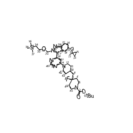 CC(C)(C)OC(=O)N1CCC(F)(CC2CCN(c3cc(-c4c5cc(OC6(C)CC6)ccc5nn4COCC[Si](C)(C)C)ncn3)CC2)CC1